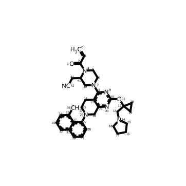 C=CC(=O)N1CCN(c2nc(OC3(CN4CCCC4)CC3)nc3c2CCN(c2cccc4cccc(C)c24)C3)CC1CC#N